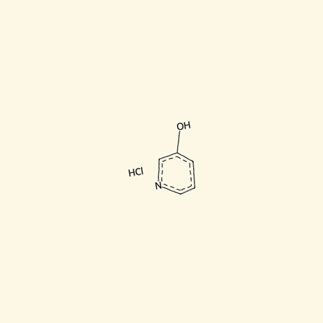 Cl.Oc1cccnc1